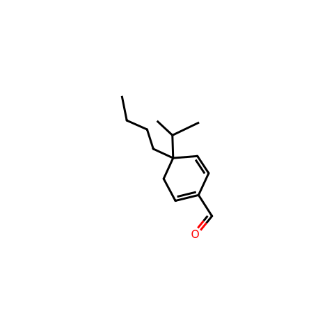 CCCCC1(C(C)C)C=CC(C=O)=CC1